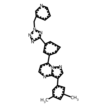 Cc1cc(C)cc(-c2cnn3c(-c4cccc(-c5nnn(Cc6cccnc6)n5)c4)ccnc23)c1